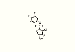 CCCc1ccc(C(F)(F)Oc2cc(F)c(F)c(F)c2)c(Cl)c1F